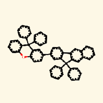 c1ccc(C2(c3ccccc3)c3ccccc3Oc3ccc(-c4ccc5c(c4)C(c4ccccc4)(c4ccccc4)c4cc6ccccc6cc4-5)cc32)cc1